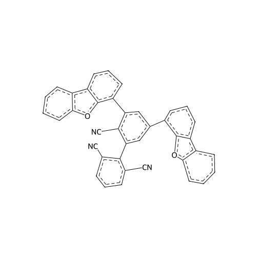 N#Cc1cccc(C#N)c1-c1cc(-c2cccc3c2oc2ccccc23)cc(-c2cccc3c2oc2ccccc23)c1C#N